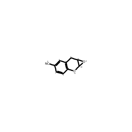 N#Cc1ccc2c(c1)CC1OC1O2